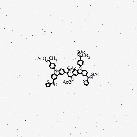 CC(=O)ON=C(C)c1ccc(-n2c3ccc(C(=O)c4cccs4)cc3c3cc(C(C/C(=N\OC(C)=O)c4ccc5c(c4)c4cc(/C(=N\OC(C)=O)c6cccs6)ccc4n5-c4ccc(C(C)=NOC(C)=O)cc4)=NOC(C)=O)ccc32)cc1